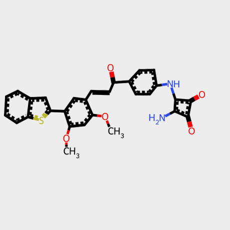 COc1cc(OC)c(-c2cc3ccccc3s2)cc1/C=C/C(=O)c1ccc(Nc2c(N)c(=O)c2=O)cc1